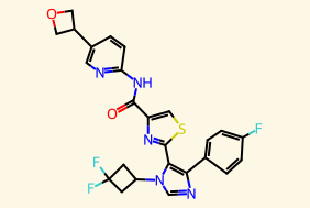 O=C(Nc1ccc(C2COC2)cn1)c1csc(-c2c(-c3ccc(F)cc3)ncn2C2CC(F)(F)C2)n1